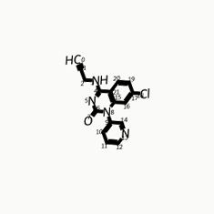 C#CCNc1nc(=O)n(-c2cccnc2)c2cc(Cl)ccc12